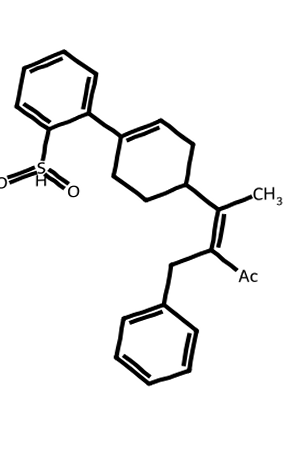 CC(=O)/C(Cc1ccccc1)=C(\C)C1CC=C(c2ccccc2[SH](=O)=O)CC1